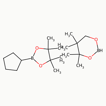 CC1(C)COBOC1(C)C.CC1(C)OB(C2CCCC2)OC1(C)C